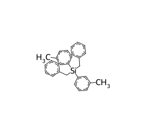 Cc1cccc([Si](Cc2ccccc2)(Cc2ccccc2)c2cccc(C)c2)c1